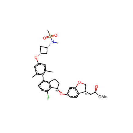 COC(=O)C[C@@H]1COc2cc(O[C@@H]3CCc4c(-c5c(C)cc(O[C@H]6C[C@@H](N(C)S(C)(=O)=O)C6)cc5C)ccc(F)c43)ccc21